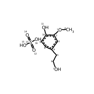 COc1cc(CCO)ccc1O.O=S(=O)(O)O